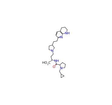 O=C(O)C(CCN1CCC(CCc2ccc3c(n2)NCCC3)C1)NC(=O)C1CCCN1CC1CC1